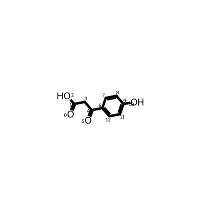 O=C(O)CC(=O)c1ccc(O)cc1